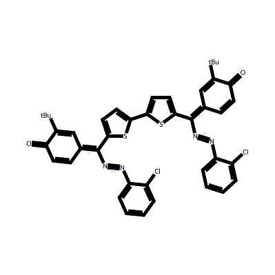 CC(C)(C)C1=C/C(=C(/N=N/c2ccccc2Cl)c2ccc(-c3ccc(C(/N=N/c4ccccc4Cl)=C4/C=CC(=O)C(C(C)(C)C)=C4)s3)s2)C=CC1=O